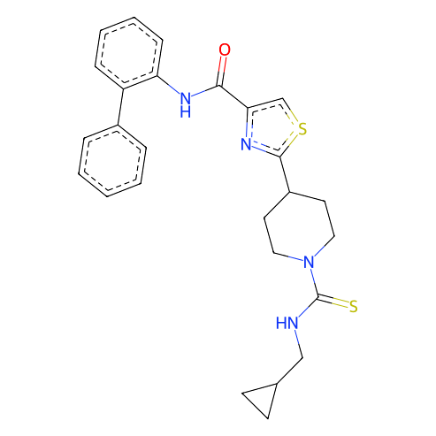 O=C(Nc1ccccc1-c1ccccc1)c1csc(C2CCN(C(=S)NCC3CC3)CC2)n1